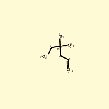 C=CC[C@@](C)(O)CC(=O)O